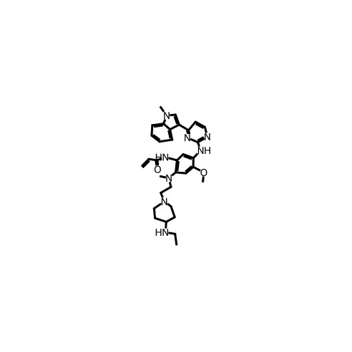 C=CC(=O)Nc1cc(Nc2nccc(-c3cn(C)c4ccccc34)n2)c(OC)cc1N(C)CCN1CCC(NCC)CC1